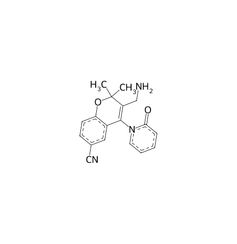 CC1(C)Oc2ccc(C#N)cc2C(n2ccccc2=O)=C1CN